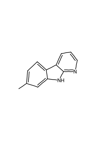 Cc1ccc2c(c1)[nH]c1ncccc12